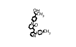 CC(CO)c1ccc(N2CCCC(Cc3cccnc3N3CCN(C)CC3)C2=O)cc1